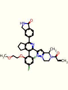 C=CC(=O)N1CCn2nc(-c3nc(-c4ccc5c(c4)CNC5=O)c4c(c3-c3c(F)cc(F)cc3OCCOC)CCC4)cc2C1C